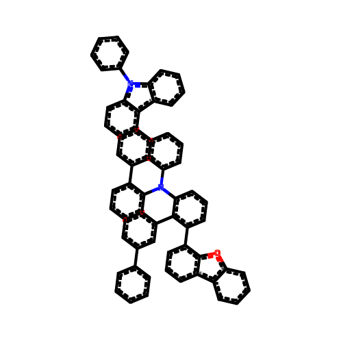 c1ccc(-c2cccc(-c3c(-c4cccc5c4oc4ccccc45)cccc3N(c3cccc(-c4cccc5c4c4ccccc4n5-c4ccccc4)c3)c3ccccc3-c3ccccc3)c2)cc1